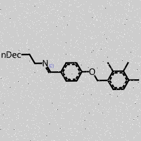 CCCCCCCCCCCC/N=C/c1ccc(OCc2ccc(C)c(C)c2C)cc1